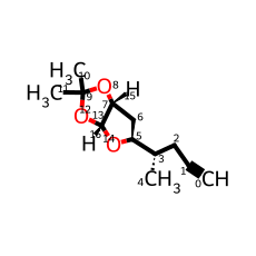 C#CC[C@H](C)[C@@H]1C[C@H]2OC(C)(C)O[C@H]2O1